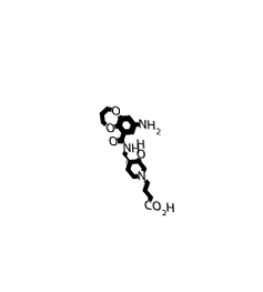 Nc1cc2c(c(C(=O)NC[C@@H]3CCN(CCCC(=O)O)CC3O)c1)OCCCO2